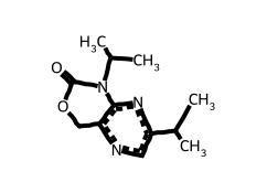 CC(C)c1cnc2c(n1)N(C(C)C)C(=O)OC2